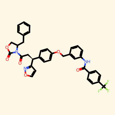 O=C(Nc1cccc(COc2ccc([C@H](CC(=O)N3C(=O)OCC3Cc3ccccc3)c3ccon3)cc2)c1)c1ccc(C(F)(F)F)cc1